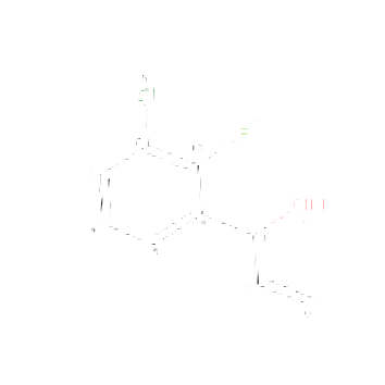 C=CC(O)c1cccc(Cl)c1F